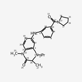 CC(C)N1c2cc(Nc3cccc(C(=O)N4CCCC4)c3)ncc2N(C)C(=O)C1C